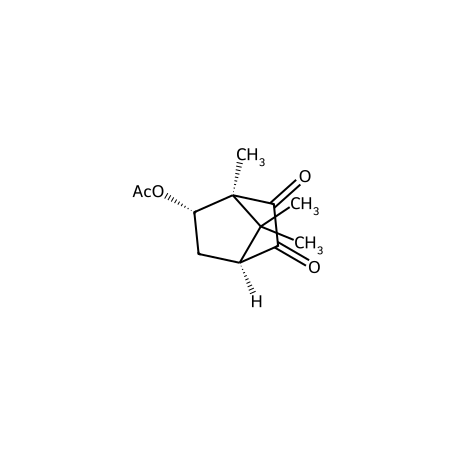 CC(=O)O[C@H]1C[C@@H]2C(=O)C(=O)[C@@]1(C)C2(C)C